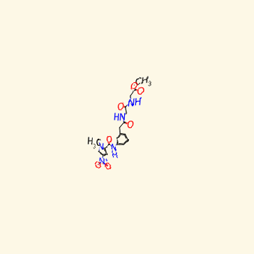 COC(=O)CNC(=O)CNC(=O)Cc1cccc(NC(=O)c2cc([N+](=O)[O-])cn2C)c1